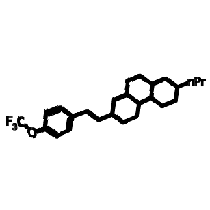 CCCC1CCC2C(CCC3CC(CCc4ccc(OC(F)(F)F)cc4)CCC32)C1